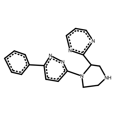 c1ccc(-c2ccc(N3CCNCC3c3ncccn3)nn2)cc1